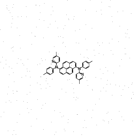 Cc1ccc(N(c2ccc(C)cn2)c2ccc3ccc4c(N(c5ccc(C)cc5)c5ccc(C)cn5)ccc5ccc2c3c54)cc1